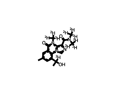 [2H]C(C)(O)c1cc(C)cc2c(=O)n(C([2H])([2H])[2H])c3c(C(=O)N(C([2H])([2H])[2H])C([2H])([2H])[2H])ncn3c12